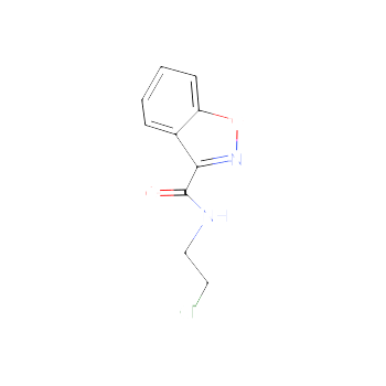 O=C(NCCCl)c1noc2ccccc12